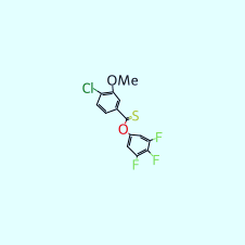 COc1cc(C(=S)Oc2cc(F)c(F)c(F)c2)ccc1Cl